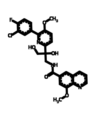 COc1ccc(C(O)(CO)CNC(=O)c2cc(OC)c3ncccc3c2)nc1-c1ccc(F)c(Cl)c1